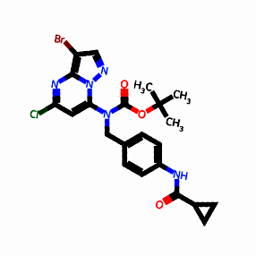 CC(C)(C)OC(=O)N(Cc1ccc(NC(=O)C2CC2)cc1)c1cc(Cl)nc2c(Br)cnn12